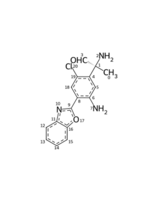 C[C@@](N)(C=O)c1cc(N)c(-c2nc3ccccc3o2)cc1Cl